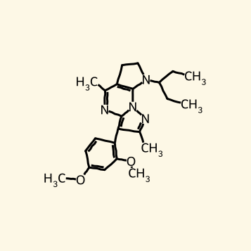 CCC(CC)N1CCc2c(C)nc3c(-c4ccc(OC)cc4OC)c(C)nn3c21